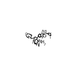 Cc1cc(C)cc(NC(=O)Nc2ccc(C3C=C(CN4CCOCC4)N4N=CN=C(N)C34)cc2F)c1